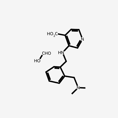 CN(C)Cc1ccccc1CNc1cnccc1C(=O)O.O=CO